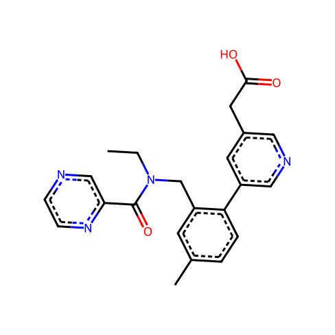 CCN(Cc1cc(C)ccc1-c1cncc(CC(=O)O)c1)C(=O)c1cnccn1